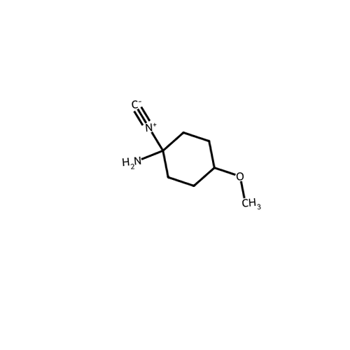 [C-]#[N+]C1(N)CCC(OC)CC1